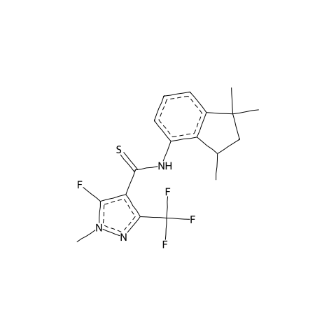 CC1CC(C)(C)c2cccc(NC(=S)c3c(C(F)(F)F)nn(C)c3F)c21